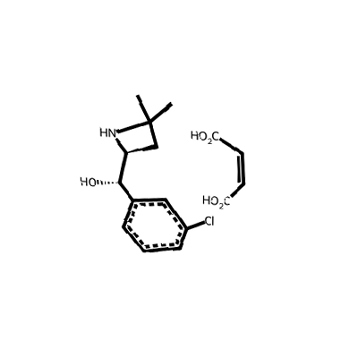 CC1(C)C[C@@H]([C@@H](O)c2cccc(Cl)c2)N1.O=C(O)/C=C\C(=O)O